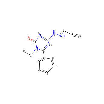 C#CCNNc1nc(-c2ccccc2)n(CC)c(=O)n1